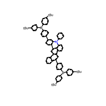 CC(C)(C)c1ccc(B(c2ccc(-c3ccc4c(c3)N(c3ccccc3)c3cccc5c3c-4cc3c4ccccc4c(-c4ccc(B(c6ccc(C(C)(C)C)cc6)c6ccc(C(C)(C)C)cc6)cc4)cc53)cc2)c2ccc(C(C)(C)C)cc2)cc1